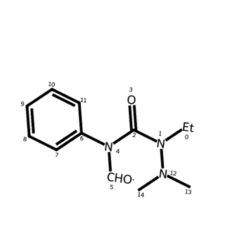 CCN(C(=O)N([C]=O)c1ccccc1)N(C)C